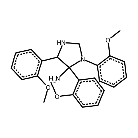 COc1ccccc1C1NCN(c2ccccc2OC)C1(N)c1ccccc1OC